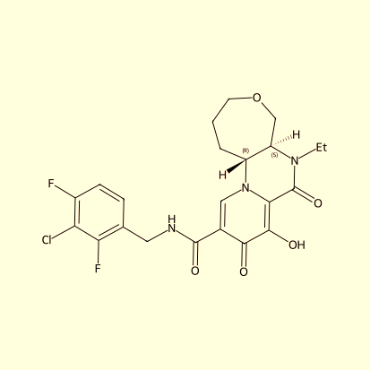 CCN1C(=O)c2c(O)c(=O)c(C(=O)NCc3ccc(F)c(Cl)c3F)cn2[C@@H]2CCCOC[C@H]21